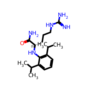 CC(C)c1cccc(C(C)C)c1N[C@@H](CCCNC(=N)N)C(N)=O